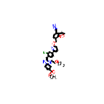 COCCn1c(Cc2ccc(-c3cccc(OCc4ccc(C#N)c5ccoc45)n3)cc2F)nc2ccc(C(=O)OC)cc21